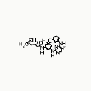 Cc1cccc(Nc2nc(Nc3cccc(NC(=O)C=CCN(C)C)c3)ncc2F)c1